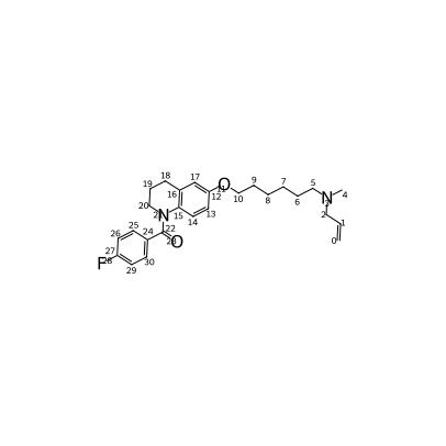 C=CCN(C)CCCCCCOc1ccc2c(c1)CCCN2C(=O)c1ccc(F)cc1